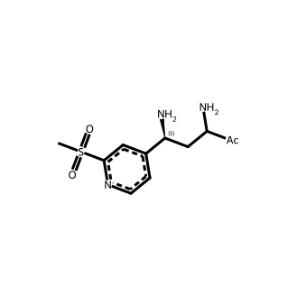 CC(=O)C(N)C[C@H](N)c1ccnc(S(C)(=O)=O)c1